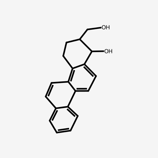 OCC1CCc2c(ccc3c2ccc2ccccc23)C1O